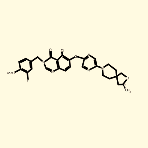 COc1ccc(Cn2cnc3ccc(Sc4cnc(N5CCC6(CC5)CO[C@@H](C)C6)cn4)c(Cl)c3c2=O)cc1F